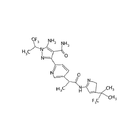 CC(C(=O)NC1=NCC(C(C)(C)C(F)(F)F)=C1)c1ccc(-c2nn(C(C)C(F)(F)F)c(N)c2C(N)=O)nc1